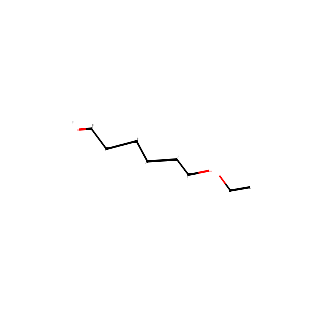 [CH2]COCCCCCCO